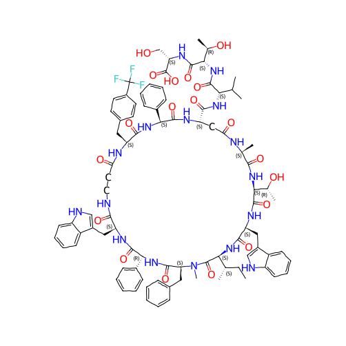 CC[C@H](C)[C@@H]1NC(=O)[C@H](Cc2c[nH]c3ccccc23)NC(=O)[C@H]([C@@H](C)O)NC(=O)[C@H](C)NC(=O)C[C@@H](C(=O)N[C@H](C(=O)N[C@H](C(=O)N[C@@H](CO)C(=O)O)[C@@H](C)O)C(C)C)NC(=O)[C@H](c2ccccc2)NC(=O)[C@H](Cc2ccc(C(F)(F)F)cc2)NC(=O)CCNC(=O)[C@H](Cc2c[nH]c3ccccc23)NC(=O)[C@@H](c2ccccc2)NC(=O)[C@H](Cc2ccccc2)N(C)C1=O